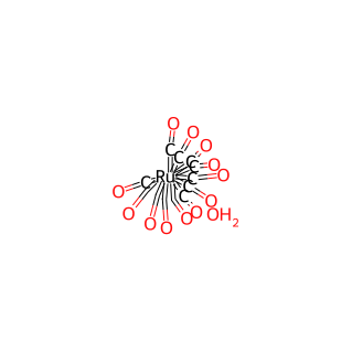 O.O=[C]=[Ru](=[C]=O)(=[C]=O)(=[C]=O)(=[C]=O)(=[C]=O)(=[C]=O)(=[C]=O)(=[C]=O)(=[C]=O)(=[C]=O)=[C]=O